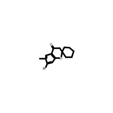 Cc1cc2c(cc1Br)OC1(CCCCC1)CC2=O